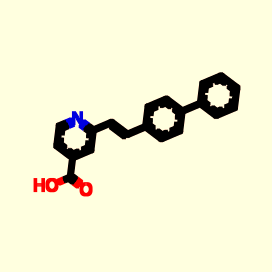 O=C(O)c1ccnc(C=Cc2ccc(-c3ccccc3)cc2)c1